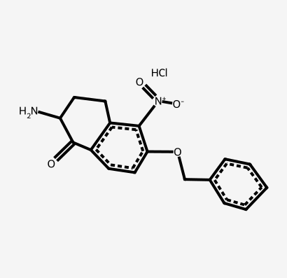 Cl.NC1CCc2c(ccc(OCc3ccccc3)c2[N+](=O)[O-])C1=O